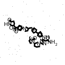 CN1CCN([C@@H]2CCCN(c3cnc(C(N)=O)c(Nc4ccc(C5CCN(CC6CCN(c7ccc8c(C9CCC(=O)NC9=O)noc8c7)C6)CC5)cc4)n3)C2)C1=O